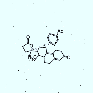 CC(=O)c1ccc([C@H]2C[C@@]3(C)C(CC[C@]34CCC(=O)O4)C3CCC4=CC(=O)CCC4=C32)cc1